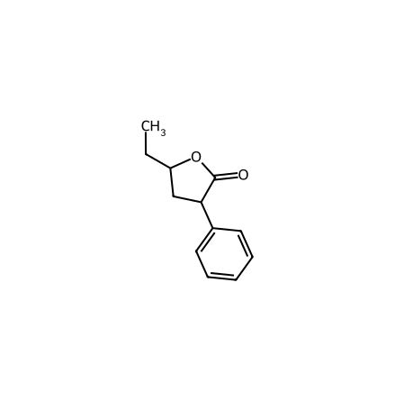 CCC1CC(c2ccccc2)C(=O)O1